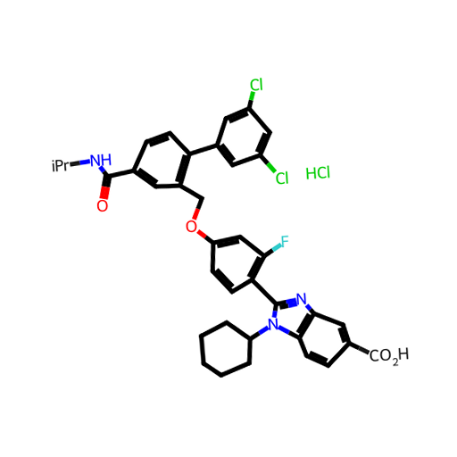 CC(C)NC(=O)c1ccc(-c2cc(Cl)cc(Cl)c2)c(COc2ccc(-c3nc4cc(C(=O)O)ccc4n3C3CCCCC3)c(F)c2)c1.Cl